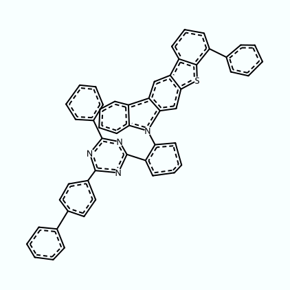 c1ccc(-c2ccc(-c3nc(-c4ccccc4)nc(-c4ccccc4-n4c5ccccc5c5cc6c(cc54)sc4c(-c5ccccc5)cccc46)n3)cc2)cc1